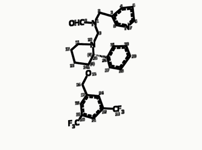 O=CN(Cc1cccnc1)CN1CCC[C@@H](OCc2cc(C(F)(F)F)cc(C(F)(F)F)c2)[C@H]1c1ccccc1